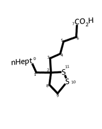 CCCCCCCCC1(CCCCC(=O)O)CCSS1